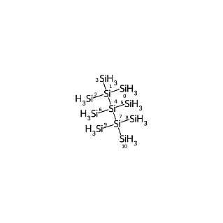 [SiH3][Si]([SiH3])([SiH3])[Si]([SiH3])([SiH3])[Si]([SiH3])([SiH3])[SiH3]